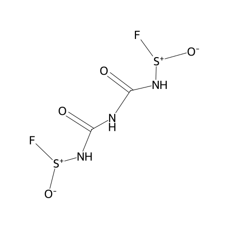 O=C(NC(=O)N[S+]([O-])F)N[S+]([O-])F